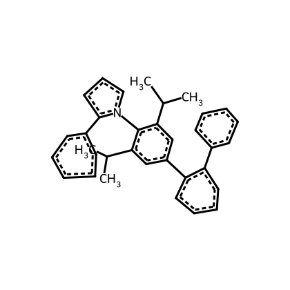 CC(C)c1cc(-c2ccccc2-c2ccccc2)cc(C(C)C)c1-n1cccc1-c1ccccc1